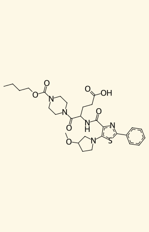 CCCCOC(=O)N1CCN(C(=O)C(CCC(=O)O)NC(=O)c2nc(-c3ccccc3)sc2N2CCC(OC)C2)CC1